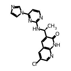 C[C@H](Nc1nccc(-n2ccnc2)n1)c1cc2cc(Cl)cnc2[nH]c1=O